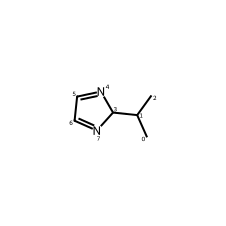 CC(C)C1N=CC=N1